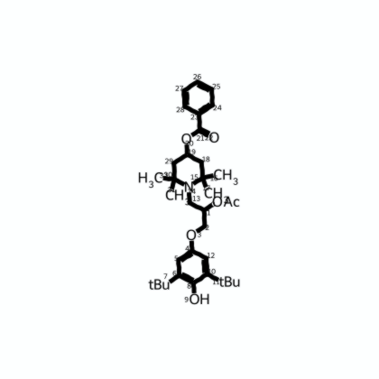 CC(=O)OC(COc1cc(C(C)(C)C)c(O)c(C(C)(C)C)c1)CN1C(C)(C)CC(OC(=O)c2ccccc2)CC1(C)C